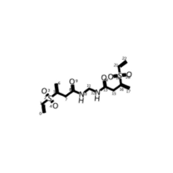 C=CS(=O)(=O)C(=C)CC(=O)NCNC(=O)CC(=C)S(=O)(=O)C=C